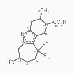 C[C@@H]1Cc2nn3c(c2CN1C(=O)O)C(F)(F)CC[C@@H](O)C3